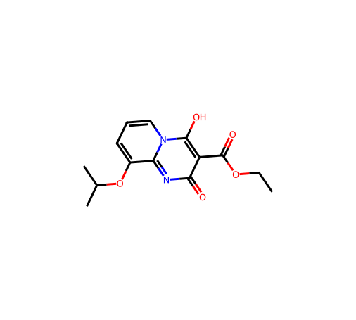 CCOC(=O)c1c(O)n2cccc(OC(C)C)c2nc1=O